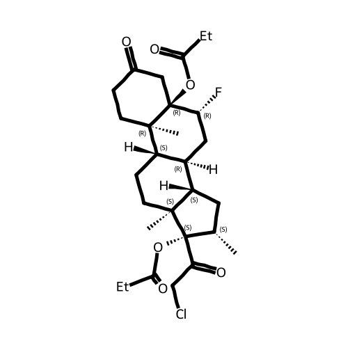 CCC(=O)O[C@]12CC(=O)CC[C@]1(C)[C@H]1CC[C@@]3(C)[C@@H](C[C@H](C)[C@@]3(OC(=O)CC)C(=O)CCl)[C@@H]1C[C@H]2F